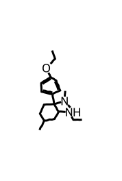 CCNC1CC(C)CCC1(c1ccc(OCC)cc1)N(C)C